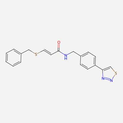 O=C(/C=C/SCc1ccccc1)NCc1ccc(-c2csnn2)cc1